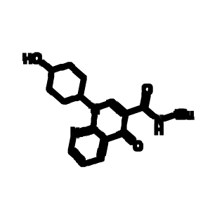 CC(C)(C)NC(=O)c1cn(C2CCC(O)CC2)c2ncccc2c1=O